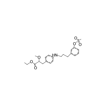 CCOC(=O)C(Cc1ccc(NCCCc2cccc(OS(C)(=O)=O)c2)cc1)OC